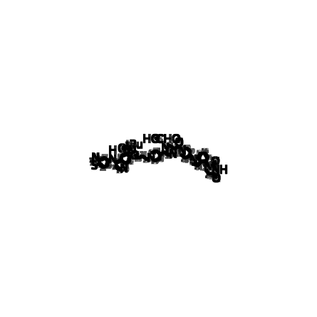 CC(C)(C)S(=O)(=O)c1cc2c(Nc3ccc4scnc4c3)ccnc2cc1OCCCN1CCC(c2cnc(C(=O)N3CCC(n4ccc5c(N6CCC(=O)NC6=O)cccc54)CC3)cn2)CC1.O=CO